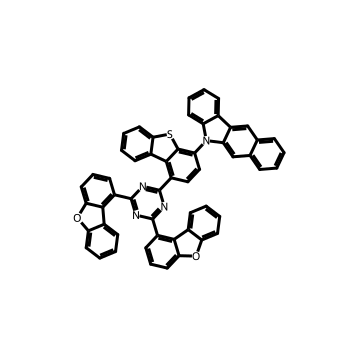 c1ccc2cc3c(cc2c1)c1ccccc1n3-c1ccc(-c2nc(-c3cccc4oc5ccccc5c34)nc(-c3cccc4oc5ccccc5c34)n2)c2c1sc1ccccc12